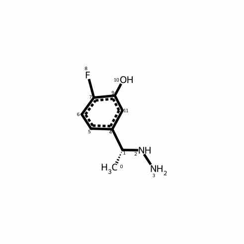 C[C@@H](NN)c1ccc(F)c(O)c1